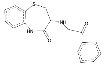 O=C(CN[C@H]1CSc2ccccc2NC1=O)c1ccccc1